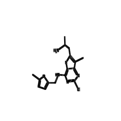 Cc1ccc(CNc2nc(Cl)nc3c(C)c(CC(C)N)sc23)o1